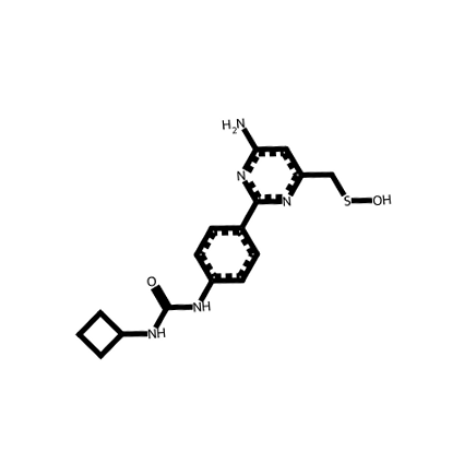 Nc1cc(CSO)nc(-c2ccc(NC(=O)NC3CCC3)cc2)n1